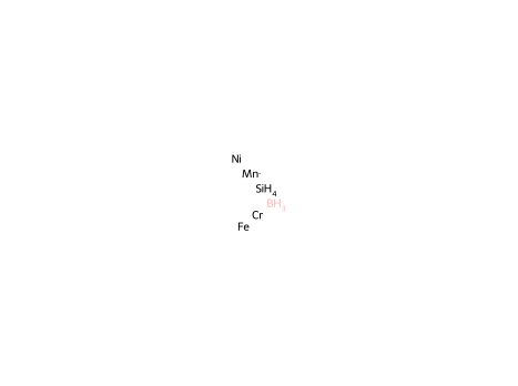 B.[Cr].[Fe].[Mn].[Ni].[SiH4]